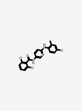 Cc1cc(Cl)ccc1Nc1ccc(NC(=O)c2c(Cl)cccc2Cl)cn1